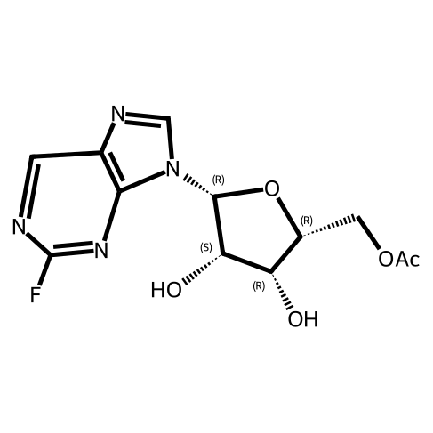 CC(=O)OC[C@H]1O[C@@H](n2cnc3cnc(F)nc32)[C@@H](O)[C@H]1O